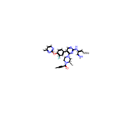 CC#CC(=O)N1CCN(c2nc(N/C(C=N)=C/NC)ncc2-c2ccc(Oc3nccc(C)n3)c(F)c2)C[C@H]1C